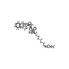 CCCCCCCCCCCCCCCCCCNC(=O)OC1COC1(C)COCc1ccccc1